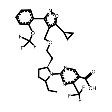 CCC1CC[C@@H](CCOCc2c(-c3ccccc3OC(F)(F)F)noc2C2CC2)N1c1ncc(C(=O)O)c(C(F)(F)F)n1